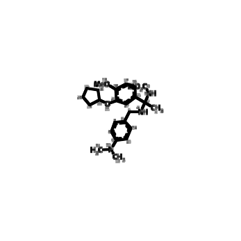 CCOC(=O)NC(C)(NCc1ccc(N(C)C)cc1)c1ccc(OC)c(OC2CCCC2)c1